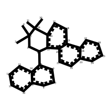 CC1(C)CC(c2cccc3ccccc23)c2c(ccc3c2ccc2ccccc23)C1(C)C